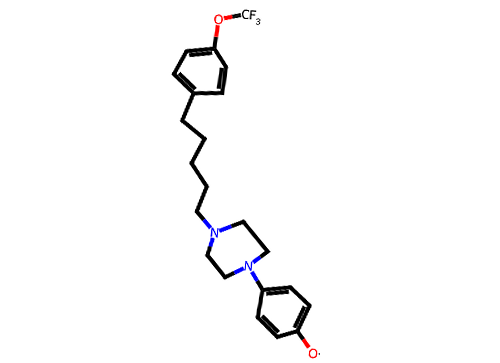 [O]c1ccc(N2CCN(CCCCCc3ccc(OC(F)(F)F)cc3)CC2)cc1